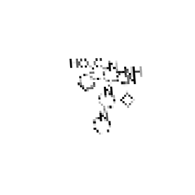 O=C(O)c1nc2[nH]nc(C3CCC3)c2c(N2CCC(N3CCCCC3)CC2)c1-c1ccccc1